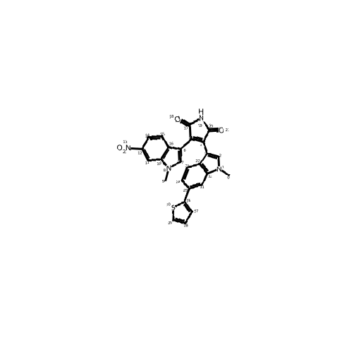 Cn1cc(C2=C(c3cn(C)c4cc([N+](=O)[O-])ccc34)C(=O)NC2=O)c2ccc(-c3cccs3)cc21